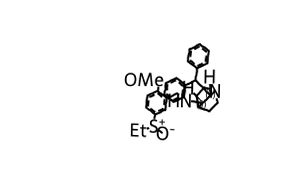 CC[S+]([O-])c1ccc(OC)c(CN[C@H]2C3CCN(CC3)[C@H]2C(c2ccccc2)c2ccccc2)c1